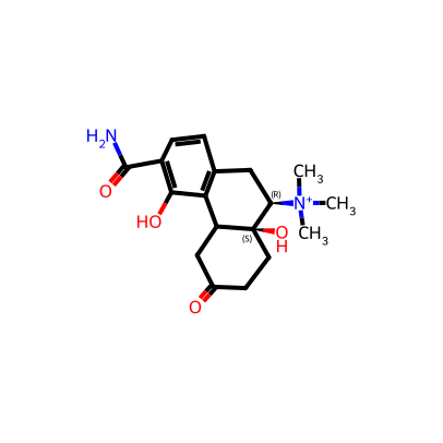 C[N+](C)(C)[C@@H]1Cc2ccc(C(N)=O)c(O)c2C2CC(=O)CC[C@]21O